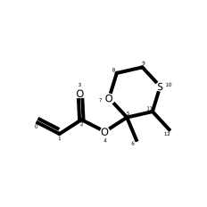 C=CC(=O)OC1(C)OCCSC1C